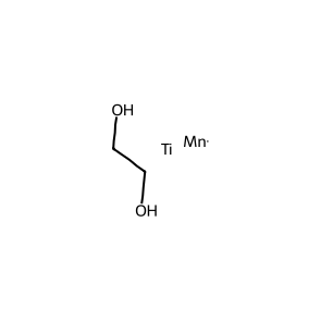 OCCO.[Mn].[Ti]